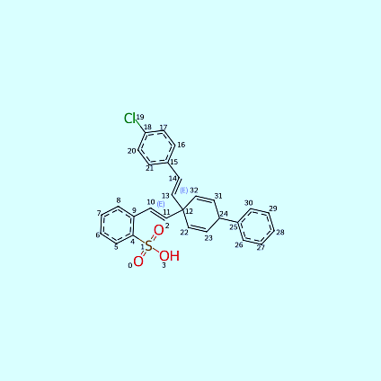 O=S(=O)(O)c1ccccc1/C=C/C1(/C=C/c2ccc(Cl)cc2)C=CC(c2ccccc2)C=C1